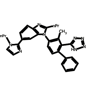 CCCc1nc2ccc(-c3nccn3CCC)cc2n1-c1ccc(-c2ccccc2)c(-c2nnn[nH]2)c1C